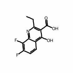 CCc1nc2c(F)c(F)ccc2c(O)c1C(=O)O